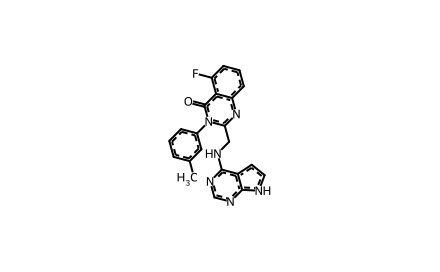 Cc1cccc(-n2c(CNc3ncnc4[nH]ccc34)nc3cccc(F)c3c2=O)c1